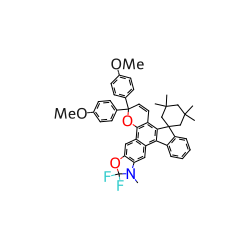 COc1ccc(C2(c3ccc(OC)cc3)C=Cc3c4c(c5cc6c(cc5c3O2)OC(F)(F)N6C)-c2ccccc2C42CC(C)(C)CC(C)(C)C2)cc1